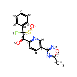 O=[S+]C(F)(C(=O)c1ccc(-c2noc(C(F)(F)F)n2)cn1)c1ccccc1